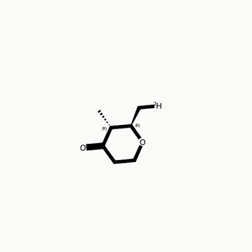 [2H]C[C@H]1OCCC(=O)[C@@H]1C